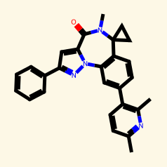 Cc1ccc(-c2ccc3c(c2)-n2nc(-c4ccccc4)cc2C(=O)N(C)C32CC2)c(C)n1